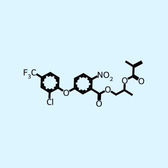 C=C(C)C(=O)OC(C)COC(=O)c1cc(Oc2ccc(C(F)(F)F)cc2Cl)ccc1[N+](=O)[O-]